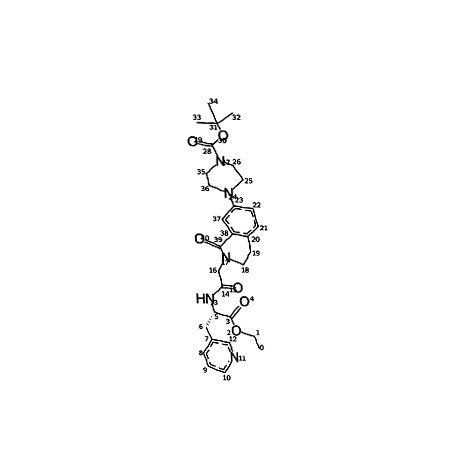 CCOC(=O)[C@H](Cc1cccnc1)NC(=O)CN1CCc2ccc(N3CCN(C(=O)OC(C)(C)C)CC3)cc2C1=O